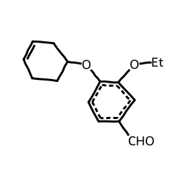 CCOc1cc(C=O)ccc1OC1CC=CCC1